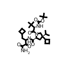 CC(C)[C@@]1(C2CCC2)C[C@@H](C(=O)NC(CC2CCC2)C(=O)C(N)=O)N(C(=O)[C@@H](NC(=O)OC(C)(C)C)C(C)(C)C)C1